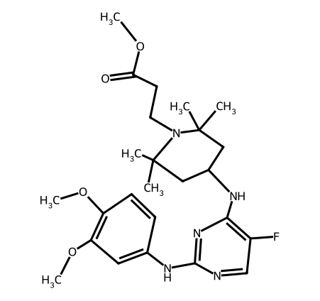 COC(=O)CCN1C(C)(C)CC(Nc2nc(Nc3ccc(OC)c(OC)c3)ncc2F)CC1(C)C